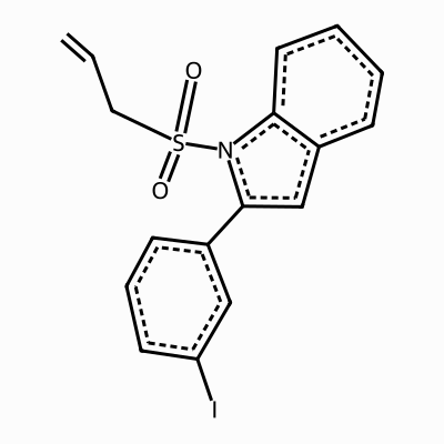 C=CCS(=O)(=O)n1c(-c2cccc(I)c2)cc2ccccc21